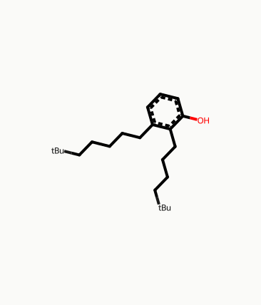 CC(C)(C)CCCCCc1cccc(O)c1CCCCC(C)(C)C